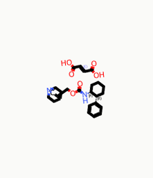 O=C(N[C@@H]1CCCC[C@@H]1c1ccccc1)OCC1CN2CCC1CC2.O=C(O)/C=C/C(=O)O